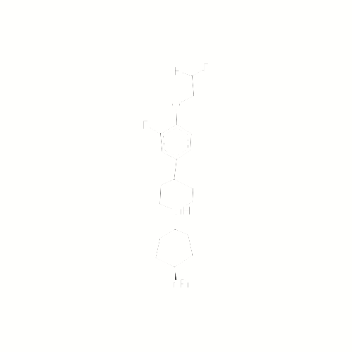 CCC[C@H]1CC[C@H]([SiH]2CCC(c3ccc(OCC(F)F)c(F)c3)CC2)CC1